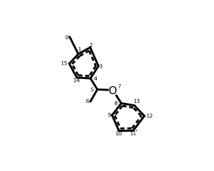 Cc1ccc(C(C)Oc2cc[c]cc2)cc1